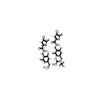 Cc1cc(CN(C(=O)O)C(C)(C)C)cc(C)c1CNC(=O)c1cc(Cl)c(C)s1.Cc1cc(CN)cc(C)c1CNC(=O)c1cc(Cl)c(C)s1